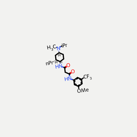 CCC[C@@H]1C[C@H](N(C)C(C)C)CC[C@@H]1NC(=O)CC(=O)Nc1cc(OC)cc(C(F)(F)F)c1